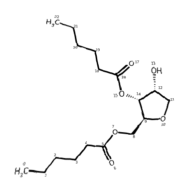 CCCCCC(=O)OC[C@@H]1OC[C@@H](O)[C@H]1OC(=O)CCCCC